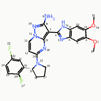 COc1cc2nc(-c3c(N)nn4ccc(N5CCC[C@@H]5c5cc(F)ccc5F)nc34)[nH]c2cc1OC